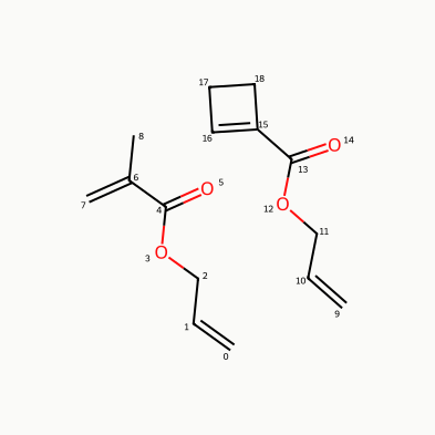 C=CCOC(=O)C(=C)C.C=CCOC(=O)C1=CCC1